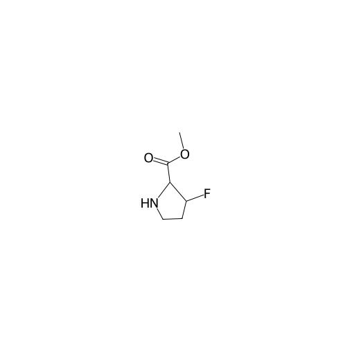 COC(=O)C1NCCC1F